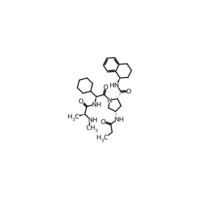 CCC(=O)N[C@H]1C[C@@H](C(=O)N[C@@H]2CCCc3ccccc32)N(C(=O)[C@@H](NC(=O)[C@H](C)NC)C2CCCCC2)C1